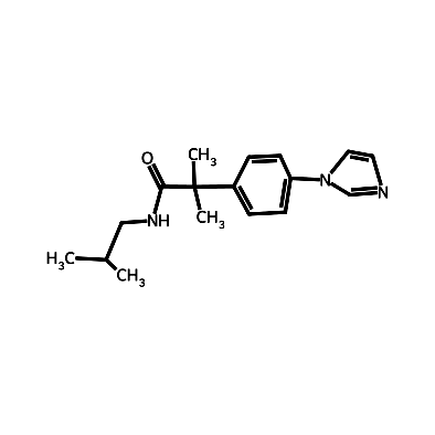 CC(C)CNC(=O)C(C)(C)c1ccc(-n2ccnc2)cc1